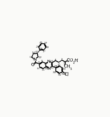 CC(CCCc1nc2cc(C(=O)N3CC[C@@H](c4ccccc4)C3)ccc2nc1-c1ccc(Cl)cc1)C(=O)O